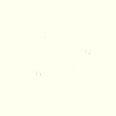 CCCOc1cc(C(=O)OCC)cc(O)c1Br